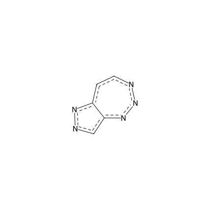 c1cc2nncc-2nnn1